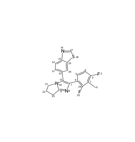 Cc1c(F)ccc(-c2nc3n(c2-c2ccc4ncsc4c2)CCC3)c1F